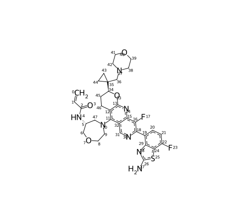 C=CC(=O)N[C@H]1COCCN(c2c3c(nc4c(F)c(-c5ccc(F)c6sc(N)nc56)ncc24)O[C@H](C2(CN4CCOCC4)CC2)CC3)C1